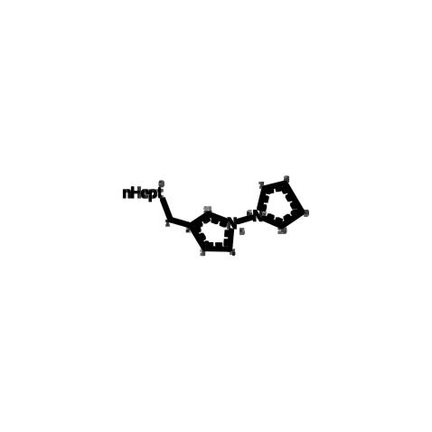 CCCCCCCCc1ccn(-n2cccc2)c1